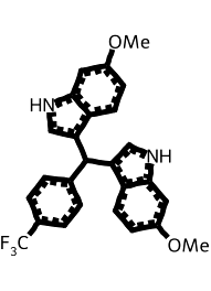 COc1ccc2c(C(c3ccc(C(F)(F)F)cc3)c3c[nH]c4cc(OC)ccc34)c[nH]c2c1